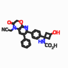 N#CCN1C(=O)COc2nc(-c3ccc(C4(NC(=O)O)CC(O)C4)cc3)c(-c3ccccc3)cc21